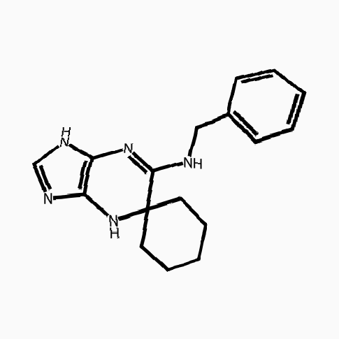 c1ccc(CNC2=Nc3[nH]cnc3NC23CCCCC3)cc1